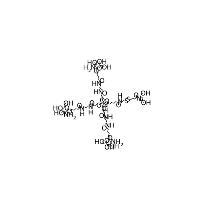 NC1C(OCCCCC(=O)NCCCNC(=O)CCOCC(COCCC(=O)NCCCNC(=O)CCCCOC2OC(CO)C(O)C(O)C2N)(COCCC(=O)NCCCNC(=O)CCCCOC2OC(CO)C(O)C(O)C2N)NC(=O)CCCCC(=O)NCCSSCCCC(=O)N2C[C@H](O)C[C@H]2CO)OC(CO)C(O)C1O